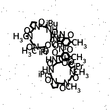 CCC(C)C1NC(=O)C(NC(=O)c2c3nc4c(C(=O)NC5C(=O)NC(C(C)C)C(=O)N6CCCC6C(=O)N(C)CC(=O)N(C)C(C(C)C)C(=O)OC5C)ccc(C)c4oc-3c(C)c(=O)c2N)C(C)OC(=O)C(C(C)C)N(C)C(=O)CN(C)C(=O)C2CCCN2C1=O